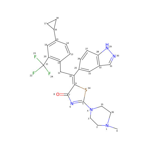 CN1CCN(C2=NC(=O)C(=C(Cc3ccc(C4CC4)cc3C(F)(F)F)c3ccc4[nH]ncc4c3)S2)CC1